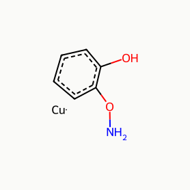 NOc1ccccc1O.[Cu]